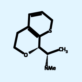 CN[C@@H](C)[C@@H]1OCCC2=C1SCC=C2